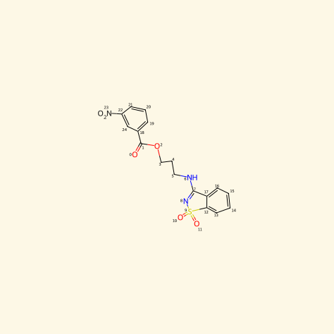 O=C(OCCCNC1=NS(=O)(=O)c2ccccc21)c1cccc([N+](=O)[O-])c1